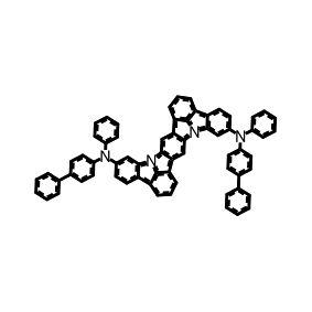 c1ccc(-c2ccc(N(c3ccccc3)c3ccc4c5cccc6c7cc8c(cc7n(c4c3)c56)c3cccc4c5ccc(N(c6ccccc6)c6ccc(-c7ccccc7)cc6)cc5n8c43)cc2)cc1